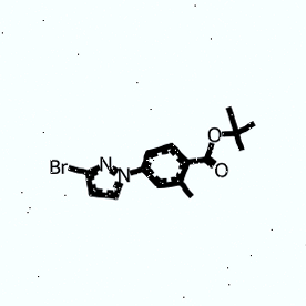 Cc1cc(-n2ccc(Br)n2)ccc1C(=O)OC(C)(C)C